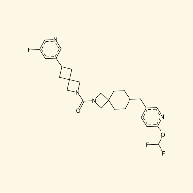 O=C(N1CC2(CCC(Cc3ccc(OC(F)F)nc3)CC2)C1)N1CC2(CC(c3cncc(F)c3)C2)C1